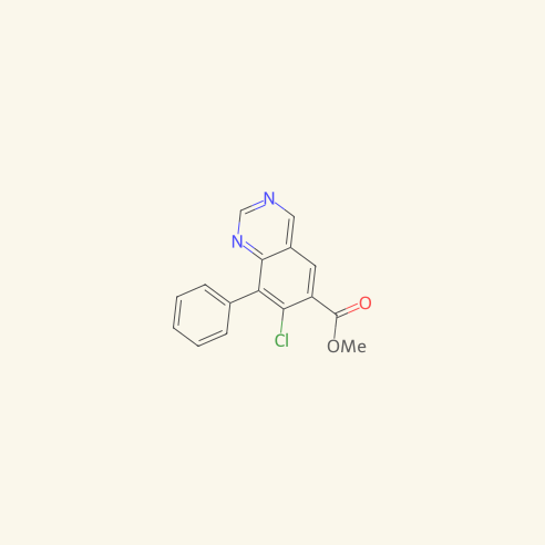 COC(=O)c1cc2cncnc2c(-c2ccccc2)c1Cl